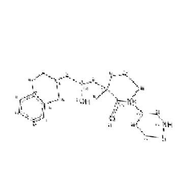 CC1(C[C@H](O)CN2CCc3ccccc3C2)CCCN(C2CCCNC2)C1=O